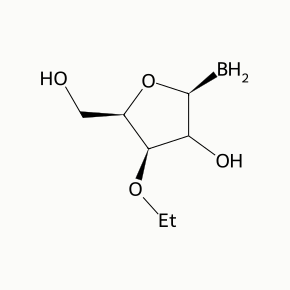 B[C@@H]1O[C@H](CO)[C@H](OCC)C1O